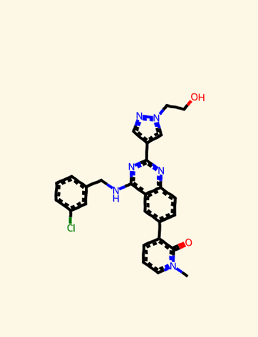 Cn1cccc(-c2ccc3nc(-c4cnn(CCO)c4)nc(NCc4cccc(Cl)c4)c3c2)c1=O